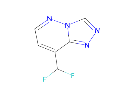 FC(F)c1ccnn2cnnc12